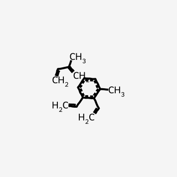 C=CC(=C)C.C=Cc1cccc(C)c1C=C